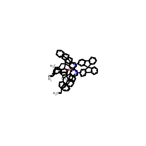 C#C/C(C)=C\C=C(/C)C1(Cc2ccc(C=C)cc2)c2ccccc2-c2ccc(N(c3ccc(-c4ccccc4)cc3)c3ccc4c(c3)C3(c5ccccc5-4)c4ccccc4-c4ccc(N(c5ccc(-c6ccccc6)cc5)c5ccc6c(c5)C(Cc5ccc(C=C)cc5)(c5ccc(C)cc5)c5ccccc5-6)cc43)cc21